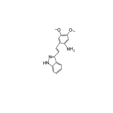 COc1cc(N)c(/C=C/c2n[nH]c3ccccc23)cc1OC